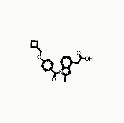 Cc1cc2c(CC(=O)O)cccc2n1C(=O)c1ccc(OCC2CCC2)cc1